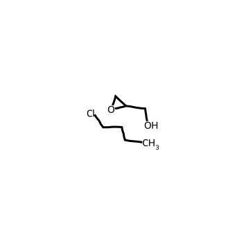 CCCCCl.OCC1CO1